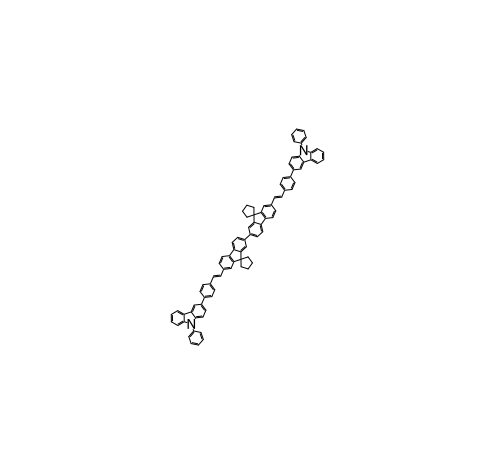 C(=C\c1ccc2c(c1)C1(CCCC1)c1cc(-c3ccc4c(c3)C3(CCCC3)c3cc(/C=C/c5ccc(-c6ccc7c(c6)c6ccccc6n7-c6ccccc6)cc5)ccc3-4)ccc1-2)/c1ccc(-c2ccc3c(c2)c2ccccc2n3-c2ccccc2)cc1